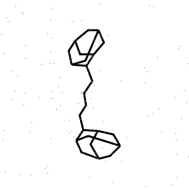 [CH](CCC1C2CC3CC(C2)CC1C3)CC1C2CC3CC(C2)CC1C3